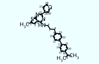 Cc1cc2c(NCCCc3ccc(-c4ccc(C(C)C)cc4)cc3)nc(-c3ccoc3)nc2s1